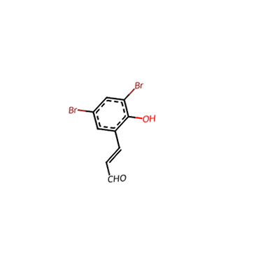 O=CC=Cc1cc(Br)cc(Br)c1O